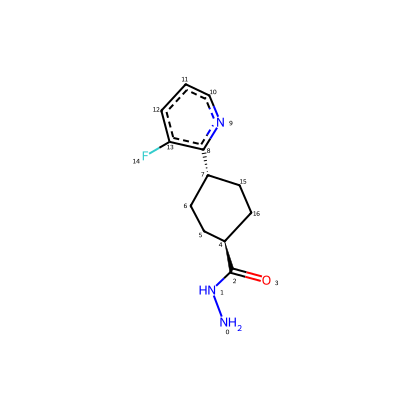 NNC(=O)[C@H]1CC[C@H](c2ncccc2F)CC1